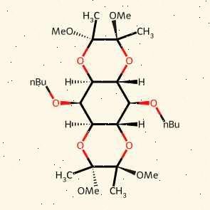 CCCCO[C@@H]1[C@H]2O[C@](C)(OC)[C@@](C)(OC)O[C@@H]2[C@H](OCCCC)[C@@H]2O[C@@](C)(OC)[C@](C)(OC)O[C@@H]12